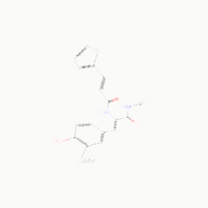 CCCNC(=O)/C(=C/c1ccc(O)c(OC)c1)NC(=O)/C=C/c1cccs1